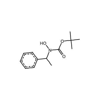 CC(c1ccccc1)N(O)C(=O)OC(C)(C)C